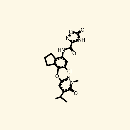 CC(C)c1cc(Oc2c(Cl)cc(NC(=O)c3noc(=O)[nH]3)c3c2CCC3)nn(C)c1=O